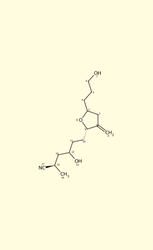 C=C1CC(CCCO)O[C@H]1CCC(O)C[C@@H](C)C#N